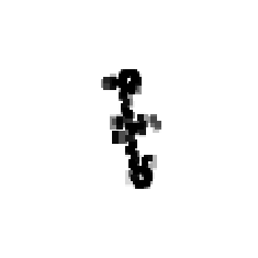 CN=C(NCCSCc1ncccc1Cl)NCCSCc1ncccc1Cl